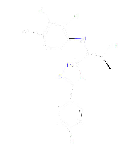 C[C@H](O)C(Nc1ccc(C#N)c(Cl)c1Cl)c1nnc(-c2ccc(Cl)cc2)o1